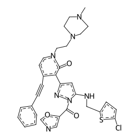 CN1CCN(CCn2ccc(C#Cc3ccccc3)c(-c3cc(NCc4ccc(Cl)s4)n(C(=O)c4cnco4)n3)c2=O)CC1